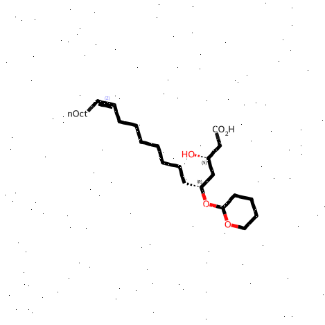 CCCCCCCC/C=C\CCCCCCC[C@H](C[C@H](O)CC(=O)O)OC1CCCCO1